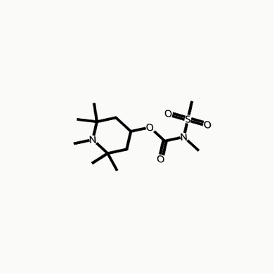 CN1C(C)(C)CC(OC(=O)N(C)S(C)(=O)=O)CC1(C)C